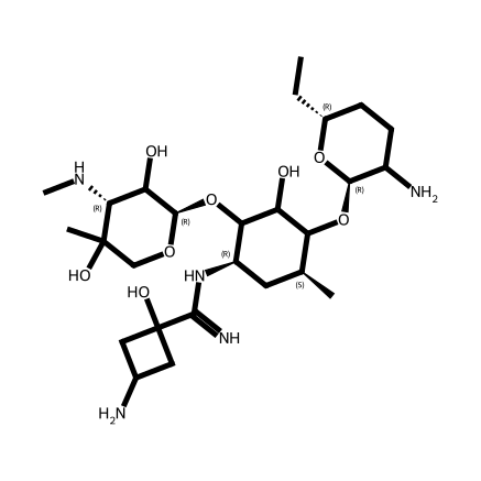 CC[C@@H]1CCC(N)[C@@H](OC2C(O)C(O[C@H]3OCC(C)(O)[C@H](NC)C3O)[C@H](NC(=N)C3(O)CC(N)C3)C[C@@H]2C)O1